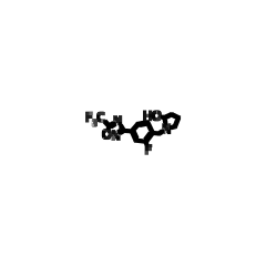 OC1CCCN1Cc1ccc(-c2noc(C(F)(F)F)n2)cc1F